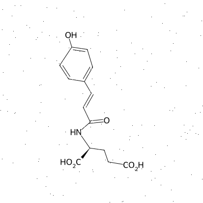 O=C(O)CC[C@H](NC(=O)C=Cc1ccc(O)cc1)C(=O)O